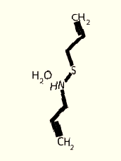 C=CCNSCC=C.O